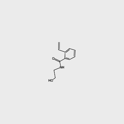 C=Cc1ccccc1C(=O)NCCO